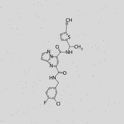 C#Cc1ccc(C(C)NC(=O)c2cc(C(=O)NCc3ccc(F)c(Cl)c3)nc3ccnn23)s1